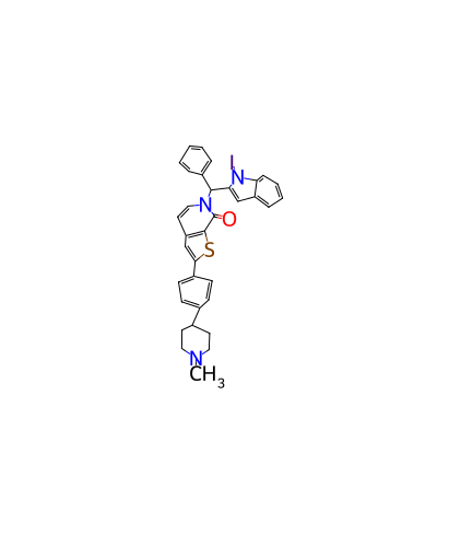 CN1CCC(c2ccc(-c3cc4ccn(C(c5ccccc5)c5cc6ccccc6n5I)c(=O)c4s3)cc2)CC1